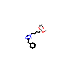 CCO[Si](CCCCn1cnc(Cc2ccccc2)n1)(OCC)OCC